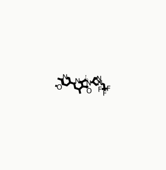 COC1=C(C)N=CC(C2CC(C)C3C(=O)N(C4C=NN(CC(F)(F)F)C4)[C@@H](C)C3=N2)C1